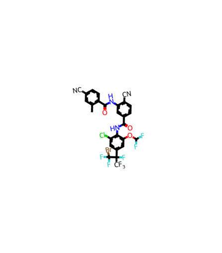 Cc1cc(C#N)ccc1C(=O)Nc1cc(C(=O)Nc2c(Cl)cc(C(F)(C(F)(F)F)C(F)(F)Br)cc2OC(F)F)ccc1C#N